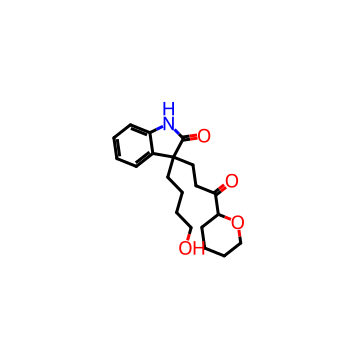 O=C(CCC1(CCCCO)C(=O)Nc2ccccc21)C1CCCCO1